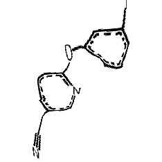 N#Cc1ccc(Oc2cccc(I)c2)nc1